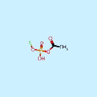 CC(=O)OP(=O)(O)OF